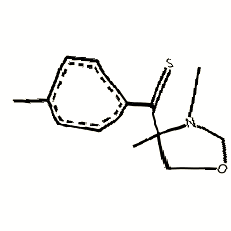 Cc1ccc(C(=S)C2(C)COCN2C)cc1